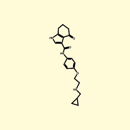 O=C(Nc1ccc(OCCNCC2CC2)cc1)c1c[nH]c2c1C(=O)CCC2